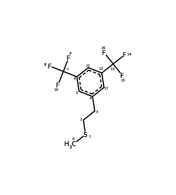 CSCCc1cc(C(F)(F)F)cc(C(F)(F)F)c1